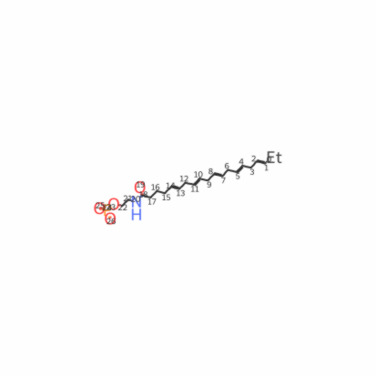 CCC=CCC=CCC=CCC=CCC=CCCCC(=O)NCCOP(=O)=O